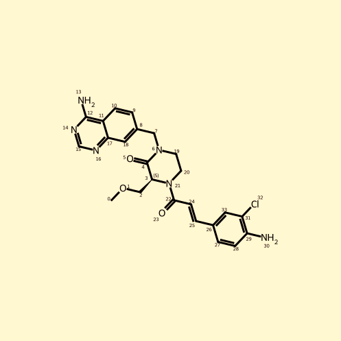 COC[C@H]1C(=O)N(Cc2ccc3c(N)ncnc3c2)CCN1C(=O)C=Cc1ccc(N)c(Cl)c1